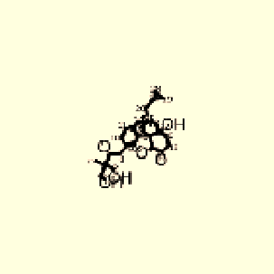 CC(CO)(CO)C(=O)Cc1ccc2c3c1OC1C(=O)CCC4(O)C(C2)N(CC2CC2)CCC314